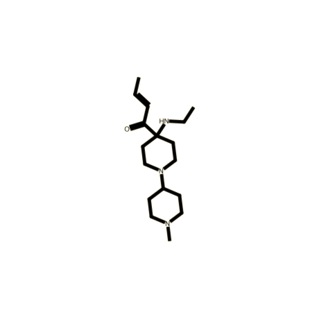 CC=CC(=O)C1(NCC)CCN(C2CCN(C)CC2)CC1